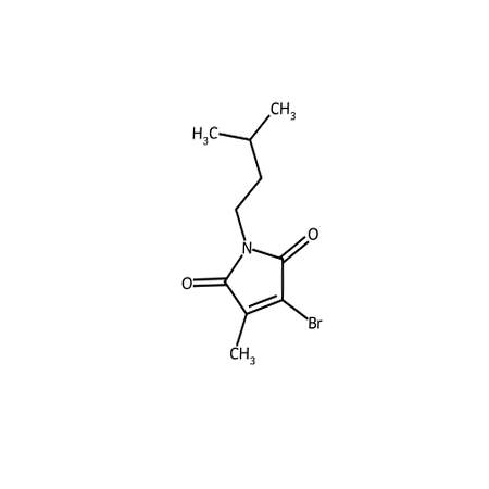 CC1=C(Br)C(=O)N(CCC(C)C)C1=O